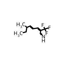 CCC(C)C=C/C=C(\C=N)C(F)(F)F